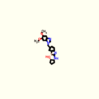 COc1cc2ncn(Cc3ccc4nc(N[C@@H]5CCC[C@@H]5O)sc4c3)c2cc1OC